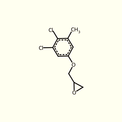 Cc1cc(OCC2CO2)cc(Cl)c1Cl